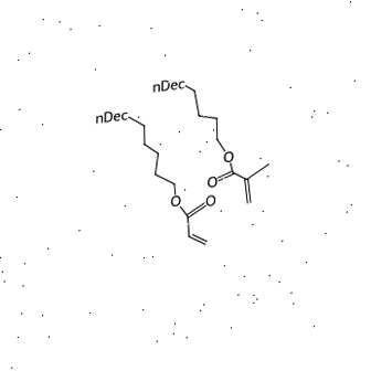 C=C(C)C(=O)OCCCCCCCCCCCCCC.C=CC(=O)OCCCCCCCCCCCCCCC